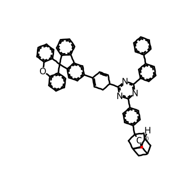 C1=CC(c2nc(-c3ccc(C45CC6C7C[C@@H](C4)CC6(C7)C5)cc3)nc(-c3cccc(-c4ccccc4)c3)n2)CC=C1c1ccc2c(c1)-c1ccccc1C21c2ccccc2Oc2ccccc21